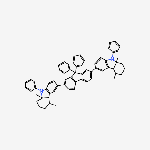 CC1CCCC2(C)C1c1cc(-c3ccc4c(c3)C(c3ccccc3)(c3ccccc3)c3cc(-c5ccc6c(c5)C5C(C)CCCC5(C)N6c5ccccc5)ccc3-4)ccc1N2c1ccccc1